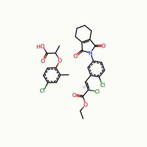 CCOC(=O)/C(Cl)=C/c1cc(N2C(=O)C3=C(CCCC3)C2=O)ccc1Cl.Cc1cc(Cl)ccc1OC(C)C(=O)O